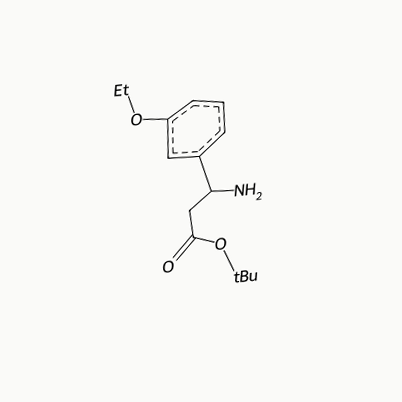 CCOc1cccc(C(N)CC(=O)OC(C)(C)C)c1